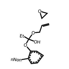 C1CO1.C=CCOC(O)(CC)Oc1ccccc1CCCCCCCCC